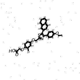 CCOc1ccc(-c2nc(COc3ccc(OCC(=O)O)c(C)c3)sc2-c2ccc3ccccc3c2)cc1